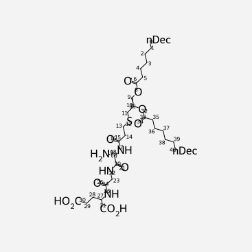 CCCCCCCCCCCCCCCC(=O)OC[C@H](CSCCC(=O)N[C@@H](N)C(=O)NCC(=O)NC(CCC(=O)O)C(=O)O)OC(=O)CCCCCCCCCCCCCCC